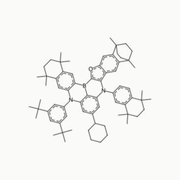 CC(C)(C)c1cc(N2c3cc4c(cc3B3c5oc6cc7c(cc6c5N(c5ccc6c(c5)C(C)(C)CCC6(C)C)c5cc(C6CCCCC6)cc2c53)C2(C)CCC7(C)CC2)C(C)(C)CCC4(C)C)cc(C(C)(C)C)c1